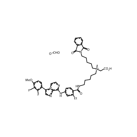 CCc1cc(Nc2nccn3c(-c4ccc(OC)c(F)c4F)cnc23)ccc1C(=O)NCCCCC[N+](C)(CCCCCN1C(=O)c2ccccc2C1=O)CC(=O)O.O=C[O-]